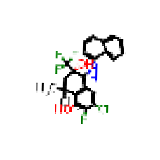 CC1(C)CC(O)(C(F)(F)F)C(Nc2cccc3ccccc23)c2cc(Cl)c(F)c(O)c21